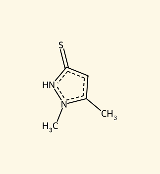 Cc1cc(=S)[nH]n1C